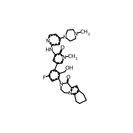 CN1CCN(c2ccnc(Nc3cc(-c4cc(F)cc(N5CCn6c(cc7c6CCCC7)C5=O)c4CO)cn(C)c3=O)c2)CC1